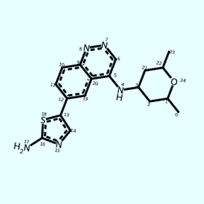 CC1CC(Nc2cnnc3ccc(-c4cnc(N)s4)cc23)CC(C)O1